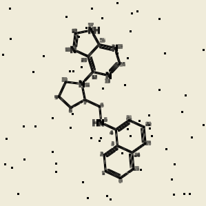 c1ccc2c(NCC3CCCN3c3ncnc4[nH]cnc34)cccc2c1